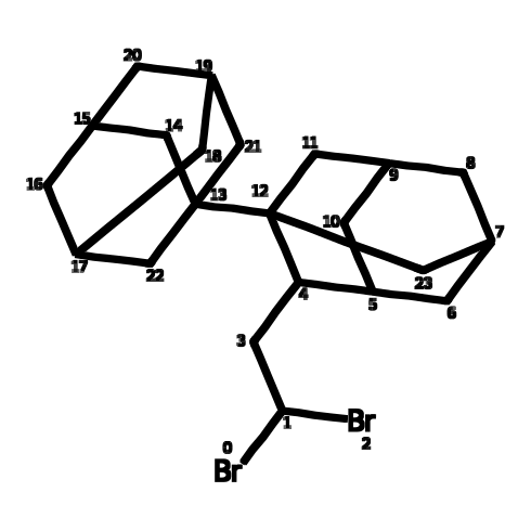 BrC(Br)CC1C2CC3CC(C2)CC1(C12CC4CC(CC(C4)C1)C2)C3